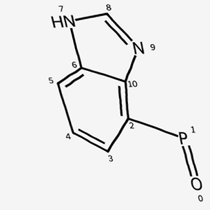 O=Pc1cccc2[nH]cnc12